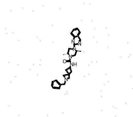 C[C@@H]1CN(c2ncc3ccccc3n2)[C@@H](C)CN1C(=O)NC1CC2(C1)CN(Cc1ccccc1)C2